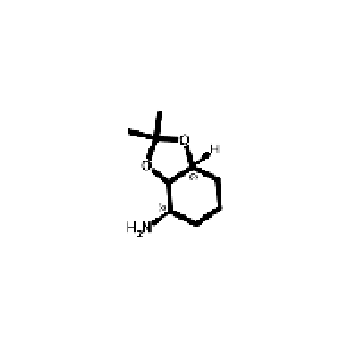 CC1(C)OC2[C@H](N)CCC[C@H]2O1